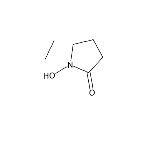 CC.O=C1CCCN1O